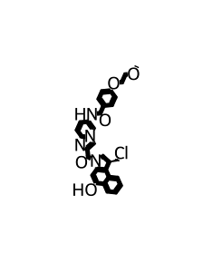 COCCOc1ccc(C(=O)Nc2ccc3nc(C(=O)N4C[C@@H](CCl)c5c4cc(O)c4ccccc54)cn3c2)cc1